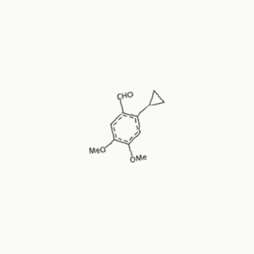 COc1cc(C=O)c(C2CC2)cc1OC